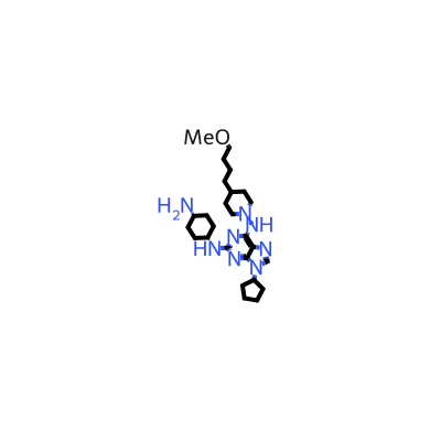 COCCCCC1CCN(Nc2nc(N[C@H]3CC[C@H](N)CC3)nc3c2ncn3C2CCCC2)CC1